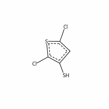 Sc1cc(Cl)sc1Cl